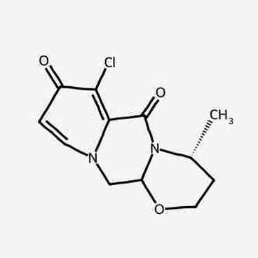 C[C@@H]1CCOC2Cn3ccc(=O)c(Cl)c3C(=O)N21